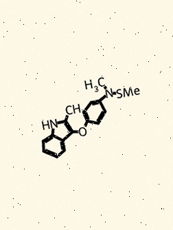 CSN(C)c1ccc(Oc2c(C)[nH]c3ccccc23)cc1